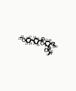 C=C(F)C(=O)Oc1cc(OC(=O)c2ccc(-c3ccc(OCC)cc3)cc2)ccc1OCC